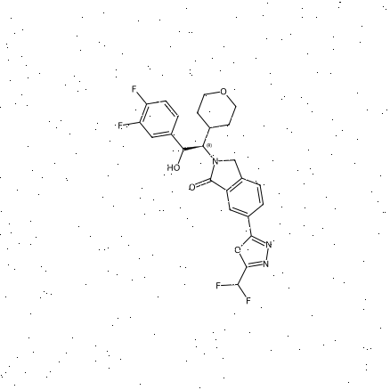 O=C1c2cc(-c3nnc(C(F)F)o3)ccc2CN1[C@H](C1CCOCC1)C(O)c1ccc(F)c(F)c1